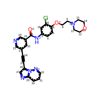 O=C(Nc1ccc(OCCN2CCOCC2)c(Cl)c1)c1cncc(C#Cc2cnc3cccnn23)c1